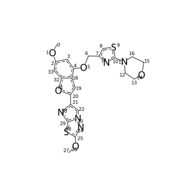 COc1cc(OCc2csc(N3CCOCC3)n2)c2cc(-c3cn4nc(OC)sc4n3)oc2c1